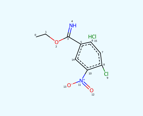 CCOC(=N)c1ccc(Cl)c([N+](=O)[O-])c1.Cl